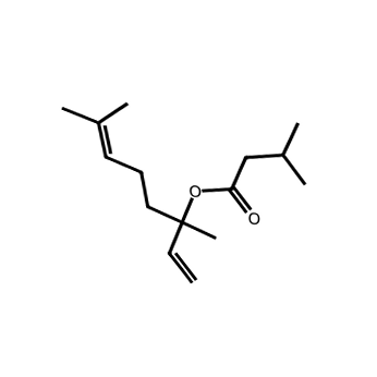 C=CC(C)(CCC=C(C)C)OC(=O)CC(C)C